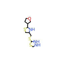 C1CC(C2NC(CSC3NNCS3)CS2)CO1